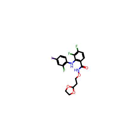 O=C(NOCCC1OCCO1)c1ccc(F)c(F)c1Nc1ccc(I)cc1F